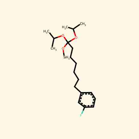 CC(C)OC(CCCCCCc1cccc(F)c1)(O[SiH3])OC(C)C